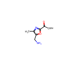 COC(=O)c1nc(C)c(CN)o1